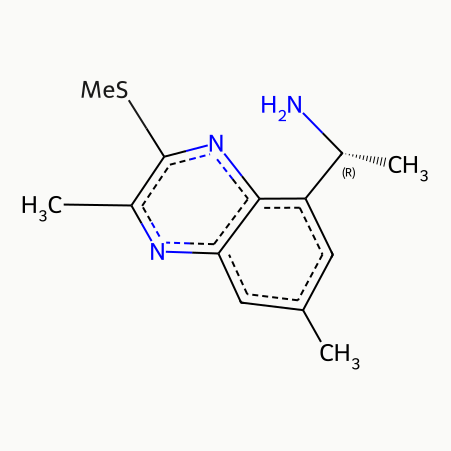 CSc1nc2c([C@@H](C)N)cc(C)cc2nc1C